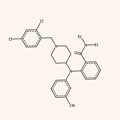 CCN(CC)C(=O)c1ccccc1N(c1cccc(C#N)c1)C1CCN(Cc2ccc(Cl)cc2Cl)CC1